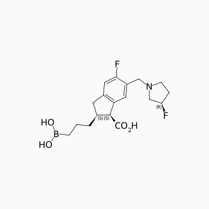 O=C(O)[C@@H]1c2cc(CN3CC[C@@H](F)C3)c(F)cc2C[C@@H]1CCCB(O)O